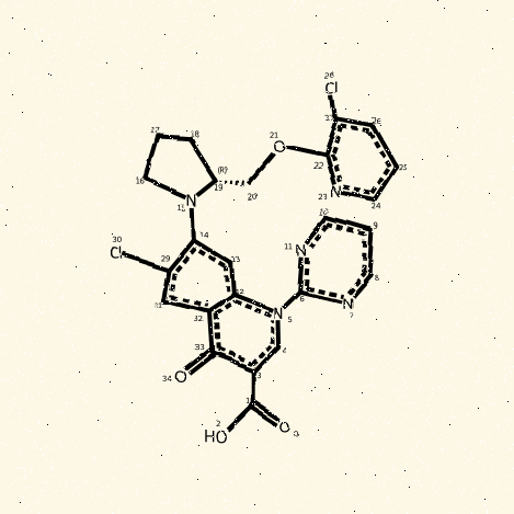 O=C(O)c1cn(-c2ncccn2)c2cc(N3CCC[C@@H]3COc3ncccc3Cl)c(Cl)cc2c1=O